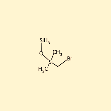 C[Si](C)(CBr)O[SiH3]